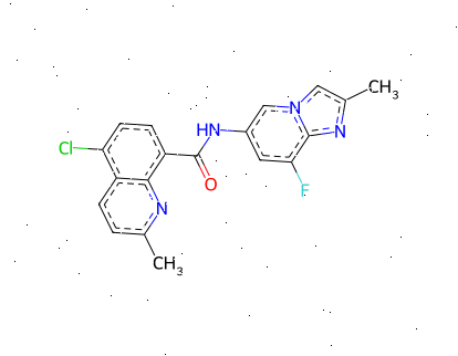 Cc1ccc2c(Cl)ccc(C(=O)Nc3cc(F)c4nc(C)cn4c3)c2n1